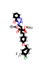 CC(C)(C)OC(=O)C(CCn1nnc2ccccc2c1=O)(CC(=O)c1ccc(OCc2ccc(Cl)c(C(F)(F)F)c2)cc1)C(=O)OC(C)(C)C